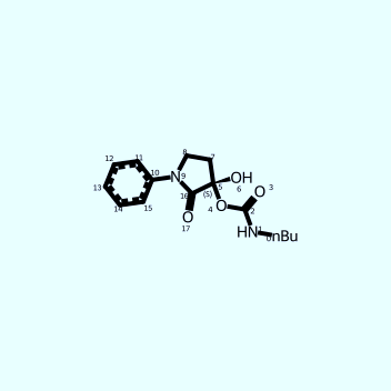 CCCCNC(=O)O[C@@]1(O)CCN(c2ccccc2)C1=O